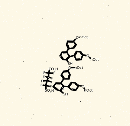 CCCCCCCCOc1ccc(-c2cccc(S)c2-c2ccc(OCCCCCCCC)cc2)cc1.CCCCCCCCOc1ccc(-c2cccc(S)c2-c2ccc(OCCCCCCCC)cc2)cc1.O=C(O)C(F)(F)C(F)(F)C(F)(F)C(F)(F)S(=O)(=O)O